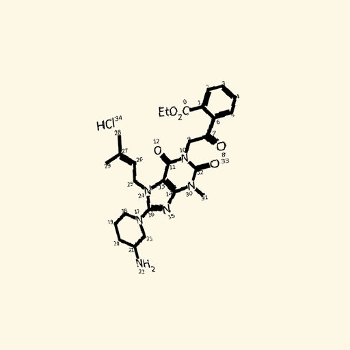 CCOC(=O)c1ccccc1C(=O)Cn1c(=O)c2c(nc(N3CCCC(N)C3)n2CC=C(C)C)n(C)c1=O.Cl